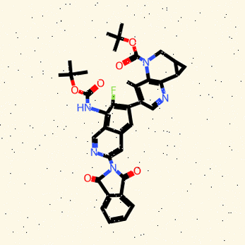 Cc1c(-c2cc3cc(N4C(=O)c5ccccc5C4=O)ncc3c(NC(=O)OC(C)(C)C)c2F)cnc2c1N(C(=O)OC(C)(C)C)CC1CC21